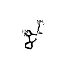 CN(CCN)Cc1c[nH]nc1-c1ccccc1F